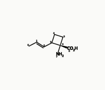 C/C=C/C1CC[C@@]1(N)C(=O)O